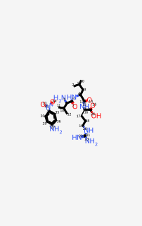 CC(C)CC(NC(=O)C(N)C(C)C)C(=O)N[C@H](CCCNC(=N)N)C(=O)O.Nc1ccc([N+](=O)[O-])cc1